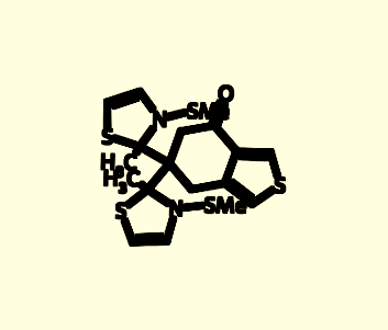 CSN1C=CSC1(C)C1(C2(C)SC=CN2SC)CC(=O)c2cscc2C1